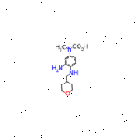 CN(C(=O)O)c1ccc(NCC2CCOCC2)c(N)c1